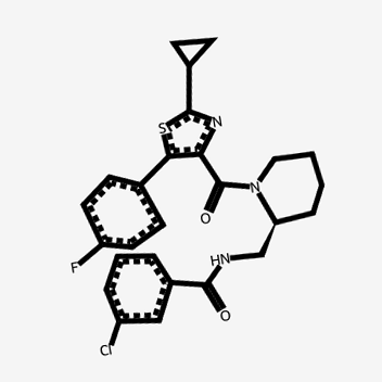 O=C(NC[C@@H]1CCCCN1C(=O)c1nc(C2CC2)sc1-c1ccc(F)cc1)c1cccc(Cl)c1